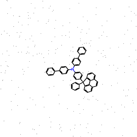 c1ccc(-c2ccc(N(c3ccc(-c4ccccc4)cc3)c3ccc(C4(c5ccccc5)c5cccc6ccc7cccc4c7c56)cc3)cc2)cc1